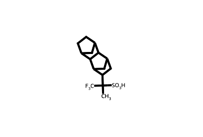 CC(C1CC2CC1C1C3CCC(C3)C21)(C(F)(F)F)S(=O)(=O)O